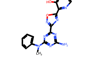 CN(c1ccccc1)c1nc(N)nc(-c2noc(-c3ncccc3O)n2)n1